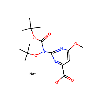 COc1cc(C(=O)[O-])nc(N(OC(C)(C)C)C(=O)OC(C)(C)C)n1.[Na+]